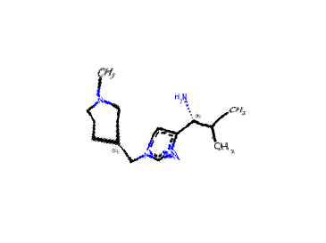 CC(C)[C@@H](N)c1cn(C[C@H]2CCN(C)C2)cn1